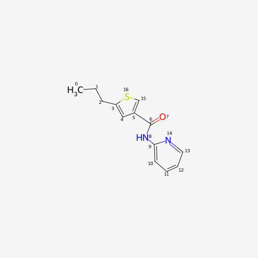 CCCc1cc(C(=O)Nc2ccccn2)cs1